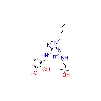 CCCCCn1cnc2c(NCc3cccc(OC)c3O)nc(NCCC(C)(C)O)nc21